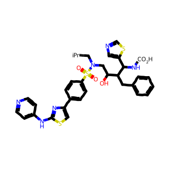 CC(C)CN(CC(O)C(Cc1ccccc1)C(NC(=O)O)c1cncs1)S(=O)(=O)c1ccc(-c2csc(Nc3ccncc3)n2)cc1